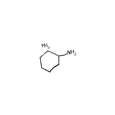 NC1CCCCC1.P